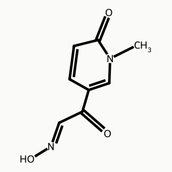 Cn1cc(C(=O)/C=N/O)ccc1=O